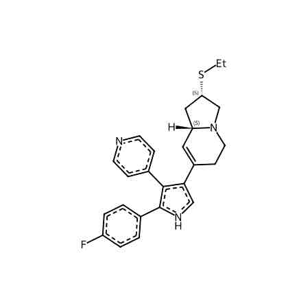 CCS[C@H]1C[C@H]2C=C(c3c[nH]c(-c4ccc(F)cc4)c3-c3ccncc3)CCN2C1